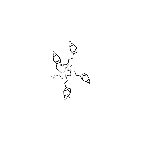 C[SiH](CCC1CC2CC1C1OC21)O[Si](C)(CCC1CC2CC1C1OC21)O[Si](C)(CCC1CC2CC1C1O[C@@H]21)O[SiH](C)CCC1CC2CC1C1OC21